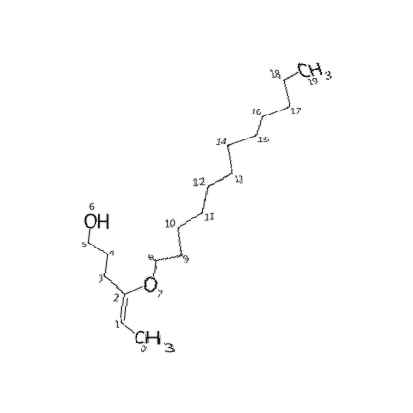 CC=C(CCCO)OCCCCCCCCCCCC